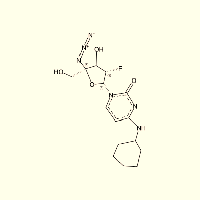 [N-]=[N+]=N[C@]1(CO)O[C@@H](n2ccc(NC3CCCCC3)nc2=O)[C@@H](F)C1O